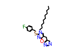 CCCCCCCCCCCn1cc(Cc2cncnc2)c(=O)nc1SCc1ccc(F)cc1